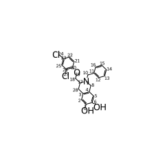 Oc1cc2c(cc1O)CN(Cc1ccccc1)C(COc1ccc(Cl)cc1Cl)C2